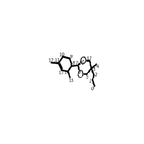 CCCC1(C)COC(C2CCC(C)=CC2C)OC1